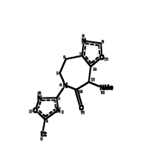 CCc1nc(N2CCc3ncoc3C(NC)C2=O)no1